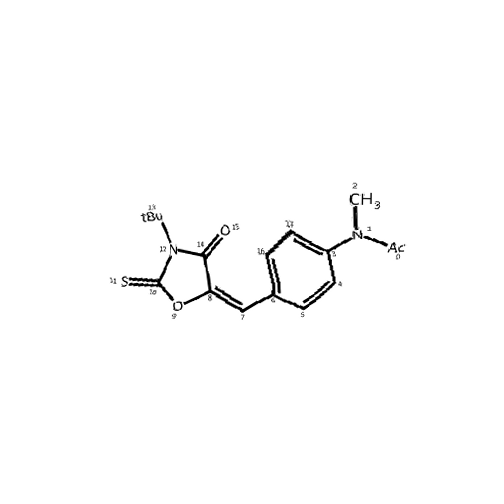 CC(=O)N(C)c1ccc(/C=C2/OC(=S)N(C(C)(C)C)C2=O)cc1